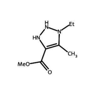 CCN1NNC(C(=O)OC)=C1C